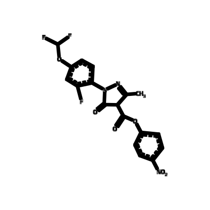 CC1=NN(c2ccc(OC(F)F)cc2F)C(=O)C1C(=O)Oc1ccc([N+](=O)[O-])cc1